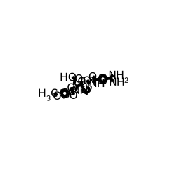 COc1ccc(S(=O)(=O)N[C@@H](CC(=O)O)C(=O)N2CCC[C@H]2C(=O)NC(=O)c2ccc(C(=N)N)cc2)cc1